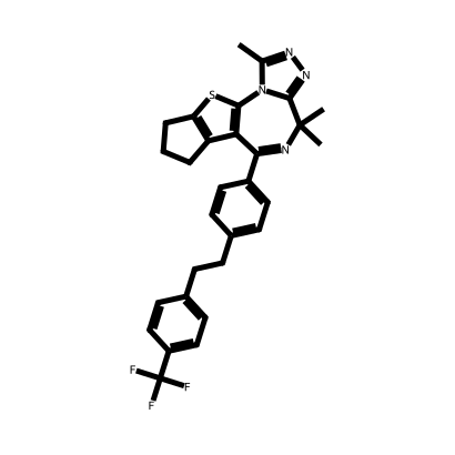 Cc1nnc2n1-c1sc3c(c1C(c1ccc(CCc4ccc(C(F)(F)F)cc4)cc1)=NC2(C)C)CCC3